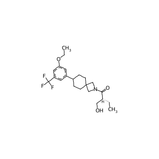 CCOc1cc(C2CCC3(CC2)CN(C(=O)[C@H](CC)CO)C3)cc(C(F)(F)F)c1